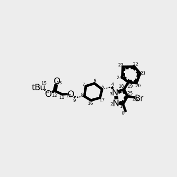 Cc1nn(C[C@H]2CC[C@@H](COCC(=O)OC(C)(C)C)CC2)c(-c2ccccc2)c1Br